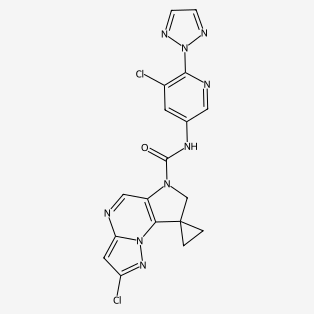 O=C(Nc1cnc(-n2nccn2)c(Cl)c1)N1CC2(CC2)c2c1cnc1cc(Cl)nn21